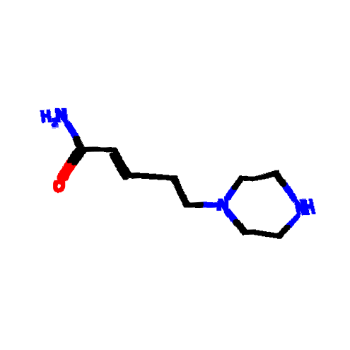 NC(=O)C=CCCN1CCNCC1